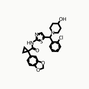 O=C(Nc1ncc(C(c2ccccc2Cl)N2CCC(O)CC2)s1)C1(c2ccc3c(c2)OCO3)CC1